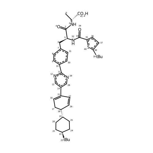 C[C@@H](NC(=O)[C@H](Cc1ccc(-c2ncc(C3=CCC([C@H]4CC[C@H](C(C)(C)C)CC4)C=C3)cn2)cc1)NC(=O)c1ccc(C(C)(C)C)s1)C(=O)O